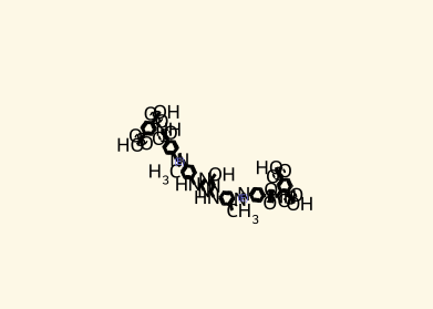 Cc1cc(Nc2nc(O)nc(Nc3ccc(/N=N/c4ccc(S(=O)(=O)Nc5cc(S(=O)(=O)O)ccc5S(=O)(=O)O)cc4)c(C)c3)n2)ccc1/N=N/c1ccc(S(=O)(=O)Nc2cc(S(=O)(=O)O)ccc2S(=O)(=O)O)cc1